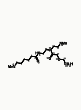 CNCCCCCC(=O)NCCN(CCNC)C(=O)COCC(=O)O